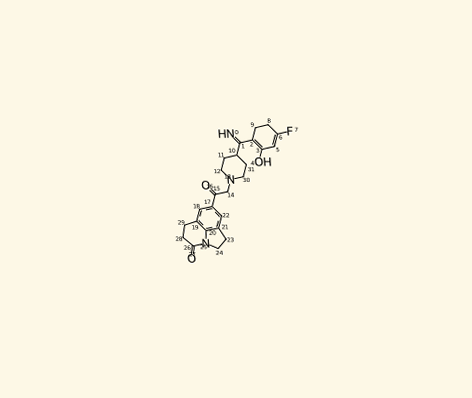 N=C(C1=C(O)C=C(F)CC1)C1CCN(CC(=O)c2cc3c4c(c2)CCN4C(=O)CC3)CC1